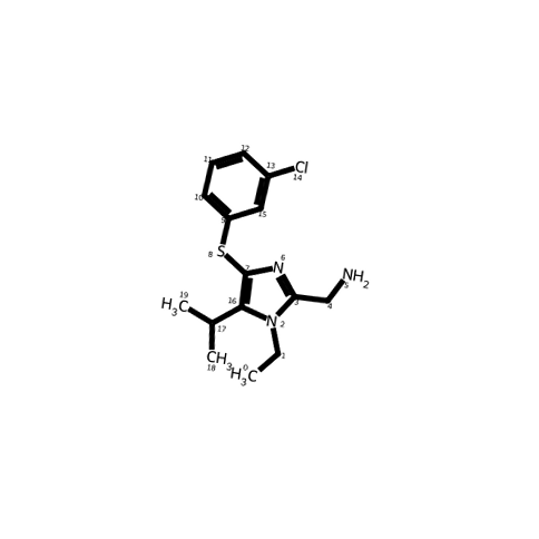 CCn1c(CN)nc(Sc2cccc(Cl)c2)c1C(C)C